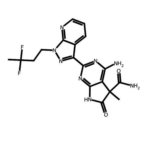 CC(F)(F)CCn1nc(-c2nc(N)c3c(n2)NC(=O)C3(C)C(N)=O)c2cccnc21